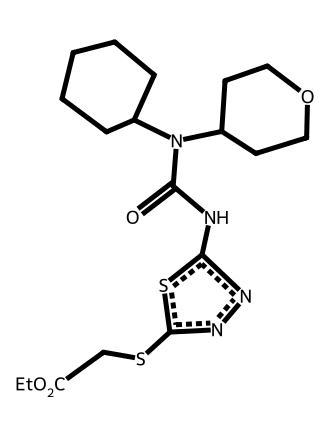 CCOC(=O)CSc1nnc(NC(=O)N(C2CCCCC2)C2CCOCC2)s1